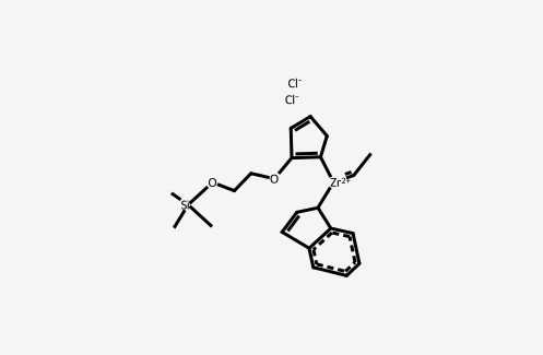 C[CH]=[Zr+2]([C]1=C(OCCO[Si](C)(C)C)C=CC1)[CH]1C=Cc2ccccc21.[Cl-].[Cl-]